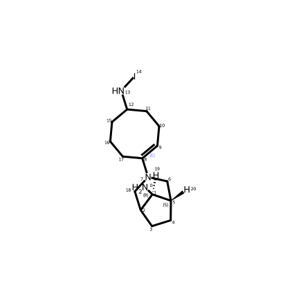 N[C@@H]1C2CC[C@H]1CN(/C1=C/CCC(NI)CCC1)C2